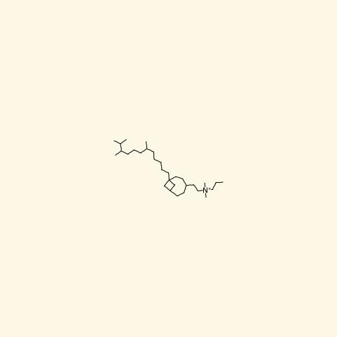 CCC[N+](C)(C)CCC1CCC2CC(CCCCCC(C)CCCC(C)C(C)C)(CC1)C2